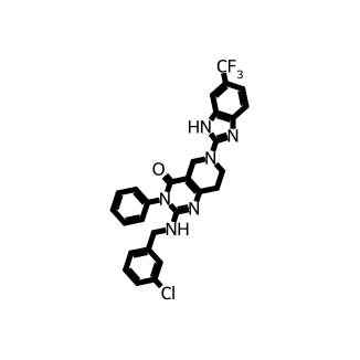 O=c1c2c(nc(NCc3cccc(Cl)c3)n1-c1ccccc1)CCN(c1nc3ccc(C(F)(F)F)cc3[nH]1)C2